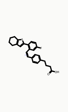 O=C(O)CCCc1ccc(/C=C\c2cc(F)ccc2-c2cc3c(s2)CCCC3)cc1